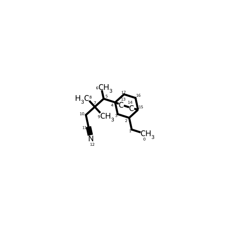 CCC1CC2(C(C)C(C)(C)CC#N)CCC1CC2